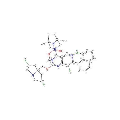 CC(C)(C)OC(=O)N1[C@@H]2CC[C@H]1CN(c1nc(OCC34CC(F)CN3CC(F)C4)nc3c(F)c(-c4cccc5cccc(Cl)c45)ncc13)C2